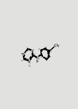 N#Cc1ccc(Nc2ncncn2)cc1